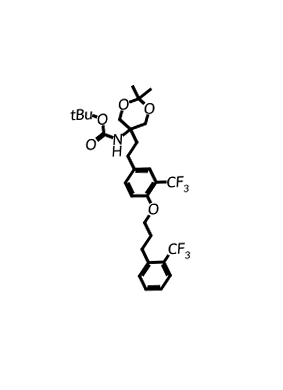 CC(C)(C)OC(=O)NC1(CCc2ccc(OCCCc3ccccc3C(F)(F)F)c(C(F)(F)F)c2)COC(C)(C)OC1